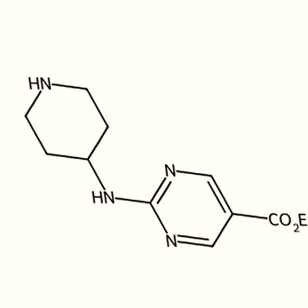 CCOC(=O)c1cnc(NC2CCNCC2)nc1